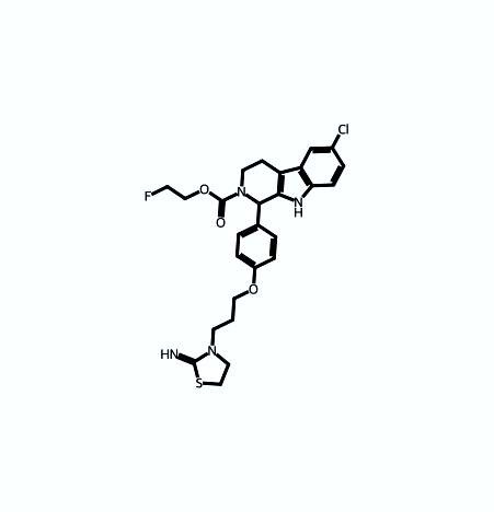 N=C1SCCN1CCCOc1ccc(C2c3[nH]c4ccc(Cl)cc4c3CCN2C(=O)OCCF)cc1